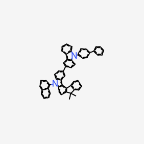 CC1(C)c2ccccc2-c2c1ccc1c2c2cc(-c3ccc4c(c3)c3ccccc3n4-c3ccc(-c4ccccc4)cc3)ccc2n1-c1cccc2ccccc12